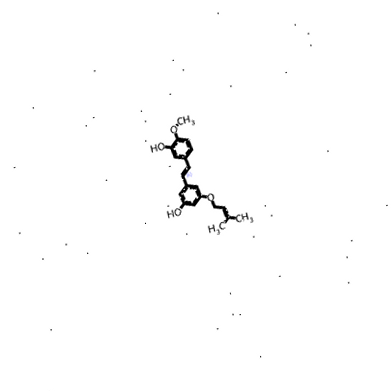 COc1ccc(/C=C/c2cc(O)cc(OCC=C(C)C)c2)cc1O